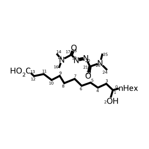 CCCCCCC(O)CCCCCCCCCCC(=O)O.CN(C)C(=O)N=NC(=O)N(C)C